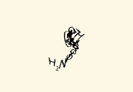 CCn1cc(C(=O)O)c(=O)c2cc(COCCOCCN)ccc21